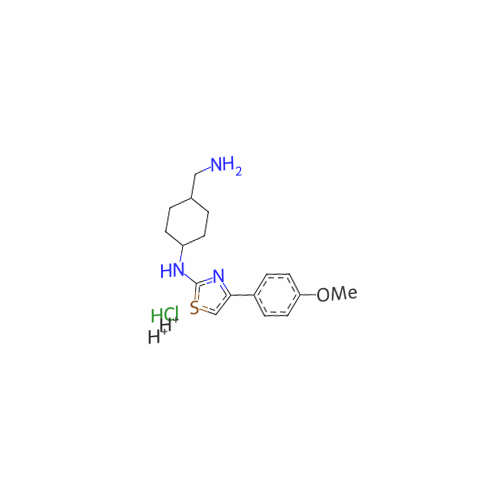 COc1ccc(-c2csc(NC3CCC(CN)CC3)n2)cc1.Cl.[H+].[H+]